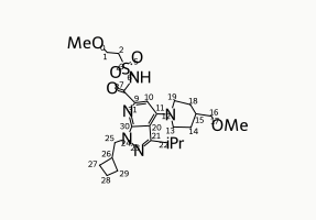 COCCS(=O)(=O)NC(=O)c1cc(N2CCC(COC)CC2)c2c(C(C)C)nn(CC3CCC3)c2n1